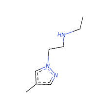 CCNCCn1cc(C)cn1